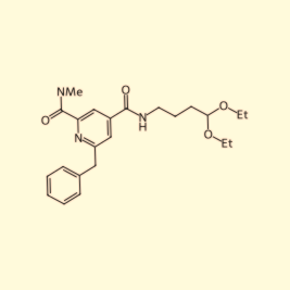 CCOC(CCCNC(=O)c1cc(Cc2ccccc2)nc(C(=O)NC)c1)OCC